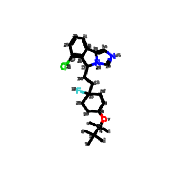 CC(C)(C)[Si](C)(C)OC1CCC(F)(CCC2c3c(Cl)cccc3-c3cncn32)CC1